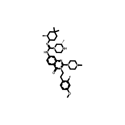 COc1ccc(CCn2c(N3CCN(C)CC3)nc3cc(N/C(=N/C4CCC(C)(C)C[C@@H]4C)N4CCN[C@@H](C)C4)ccc3c2=O)c(F)c1